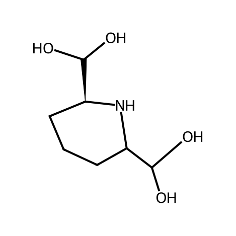 OC(O)C1CCC[C@@H](C(O)O)N1